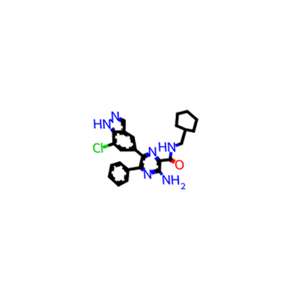 Nc1nc(-c2ccccc2)c(-c2cc(Cl)c3[nH]ncc3c2)nc1C(=O)NCC1CCCCC1